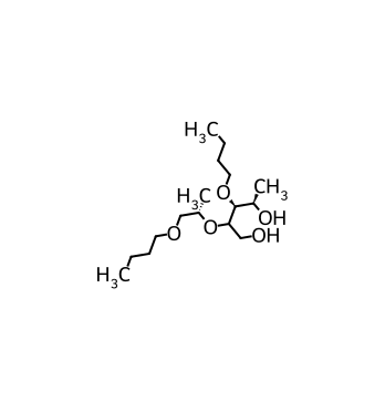 CCCCOC[C@H](C)OC(CO)[C@@H](OCCCC)[C@@H](C)O